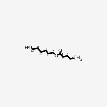 CCCCC(=O)OCCCCCCO